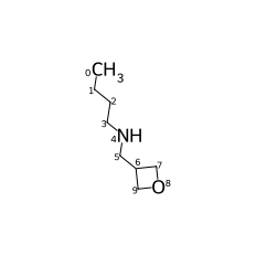 CCCCNCC1COC1